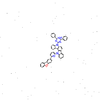 c1ccc(C2=NC(n3c4ccccc4c4c3ccc3c5ccccc5n(-c5cccc(-c6ccc7oc8ccccc8c7c6)n5)c34)=NC(c3ccccc3)N2)cc1